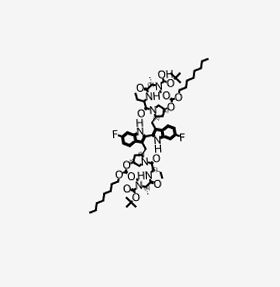 CCCCCCCCOC(=O)O[C@H]1C[C@@H](Cc2c(-c3[nH]c4cc(F)ccc4c3C[C@@H]3C[C@H](OC(=O)OCCCCCCCC)CN3C(=O)[C@H](CC)NC(=O)[C@H](C)N(C)C(=O)OC(C)(C)C)[nH]c3cc(F)ccc23)N(C(=O)C(CC)NC(=O)[C@H](C)N(C)C(O)OC(C)(C)C)C1